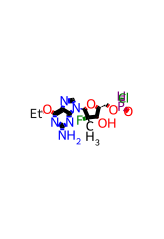 CCOc1nc(N)nc2c1ncn2[C@@H]1O[C@H](CO[PH](=O)Cl)[C@@H](O)[C@@]1(C)F